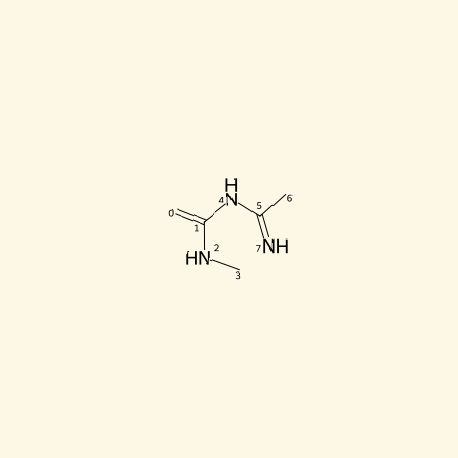 C=C(NC)NC(C)=N